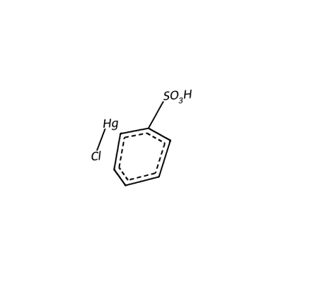 O=S(=O)(O)c1ccccc1.[Cl][Hg]